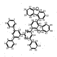 c1ccc(-c2cc(-c3ccccc3)cc(-c3nc(-c4ccccc4)cc(-c4ccc(-c5cccc6oc7ccccc7c56)c5c4oc4ccccc45)n3)c2)cc1